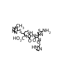 Cn1nnnc1SCC1=C(C(=O)O)N2C(=O)[C@@H](NC(=O)/C(=N\OCc3ncc[nH]3)c3csc(N)n3)[C@H]2SC1